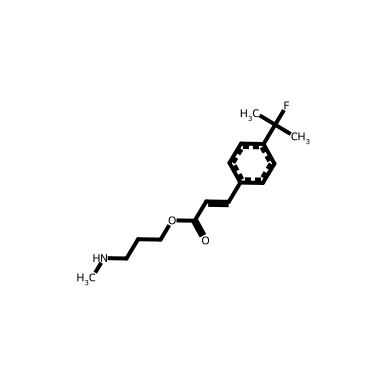 CNCCCOC(=O)/C=C/c1ccc(C(C)(C)F)cc1